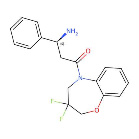 N[C@@H](CC(=O)N1CC(F)(F)COc2ccccc21)c1ccccc1